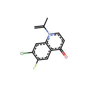 C=C(C)n1ccc(=O)c2cc(F)c(Cl)cc21